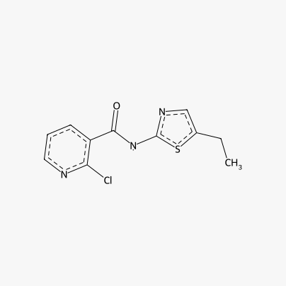 CCc1cnc([N]C(=O)c2cccnc2Cl)s1